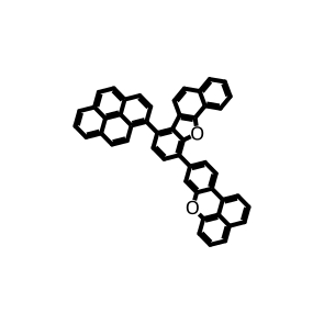 c1cc2c3c(cccc3c1)-c1ccc(-c3ccc(-c4ccc5ccc6cccc7ccc4c5c67)c4c3oc3c5ccccc5ccc34)cc1O2